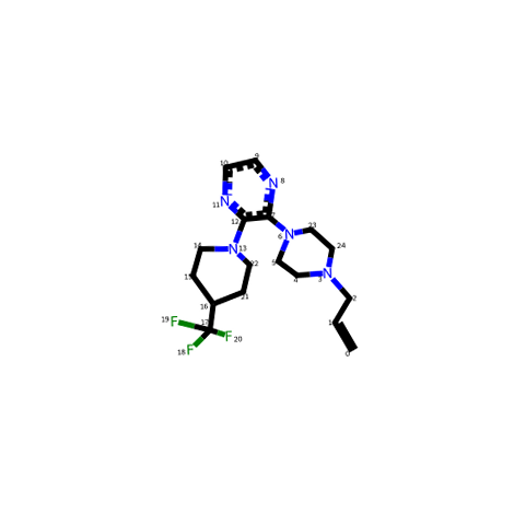 C=CCN1CCN(c2nccnc2N2CCC(C(F)(F)F)CC2)CC1